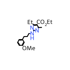 CCOC(=O)c1c(C)nc(NCCCc2cccc(OC)c2)nc1CC